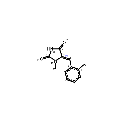 Cc1ccccc1/C=C1/C(=O)NC(=O)N1C